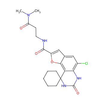 CN(C)C(=O)CCNC(=O)c1cc2cc(Cl)c3c(c2o1)C1(CCCCC1)NC(=O)N3